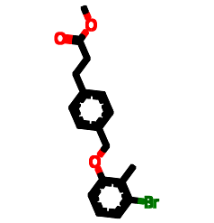 COC(=O)CCc1ccc(COc2cccc(Br)c2C)cc1